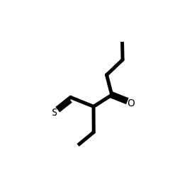 CCCC(=O)C(C=S)CC